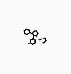 Cc1ccc2c(c1)c1c3c(ccc1n2-c1ncccn1)oc1ccccc13